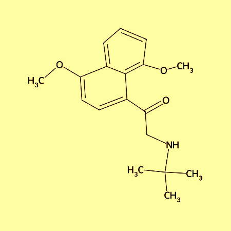 COc1ccc(C(=O)CNC(C)(C)C)c2c(OC)cccc12